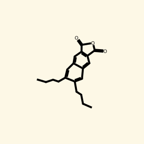 CCCCc1cc2cc3c(cc2cc1CCCC)C(=O)OC3=O